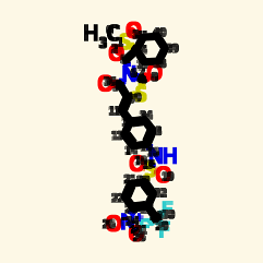 CS(=O)(=O)C1(CN2C(=O)SC(=Cc3ccc(NS(=O)(=O)c4ccc([N+](=O)[O-])c(C(F)(F)F)c4)cc3)C2=O)CCCCC1